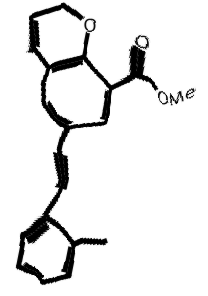 COC(=O)c1cc(C#Cc2ccccc2C)cc2c1OCC=C2